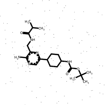 CC(C)C(=O)NCc1nc(C2CCC(NC(=O)OC(C)(C)C)CC2)cnc1N